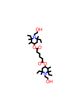 CCC1(C)CC(OC(=O)CCCCC(=O)OC2CC(C)(CC)N(CCO)C(C)(CC)C2C)C(C)C(C)(CC)N1CCO